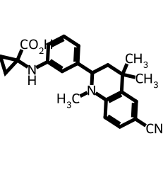 CN1c2ccc(C#N)cc2C(C)(C)CC1c1cccc(NC2(C(=O)O)CC2)c1